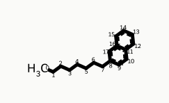 CCCCCCCCc1[c]cc2ccccc2c1